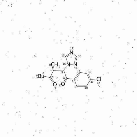 C=C(C(=O)C(C)(C)C)C(C(=O)c1ccc(Cl)cc1)n1cncn1